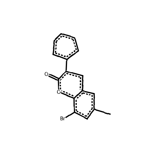 Cc1cc(Br)c2oc(=O)c(-c3ccccc3)cc2c1